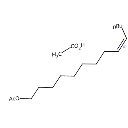 CC(=O)O.CCCC/C=C\CCCCCCCCOC(C)=O